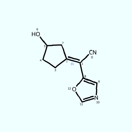 N#C/C(=C1/CCC(O)C1)c1cnco1